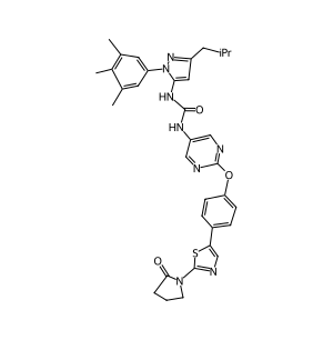 Cc1cc(-n2nc(CC(C)C)cc2NC(=O)Nc2cnc(Oc3ccc(-c4cnc(N5CCCC5=O)s4)cc3)nc2)cc(C)c1C